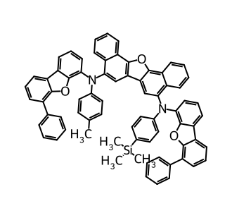 Cc1ccc(N(c2cc3c4cc(N(c5ccc([Si](C)(C)C)cc5)c5cccc6c5oc5c(-c7ccccc7)cccc56)c5ccccc5c4oc3c3ccccc23)c2cccc3c2oc2c(-c4ccccc4)cccc23)cc1